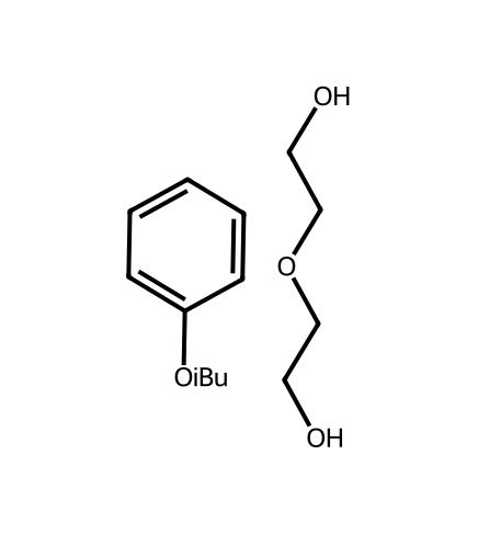 CC(C)COc1ccccc1.OCCOCCO